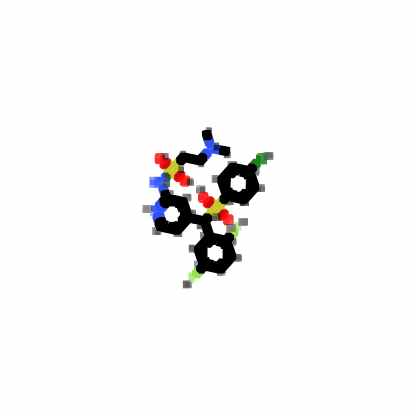 CN(C)CCS(=O)(=O)Nc1cc(C(c2cc(F)ccc2F)S(=O)(=O)c2ccc(Cl)cc2)ccn1